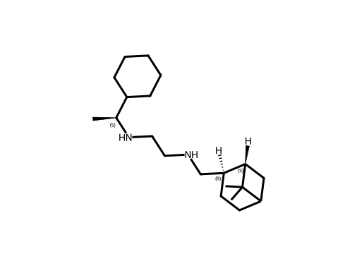 C[C@H](NCCNC[C@@H]1CCC2C[C@@H]1C2(C)C)C1CCCCC1